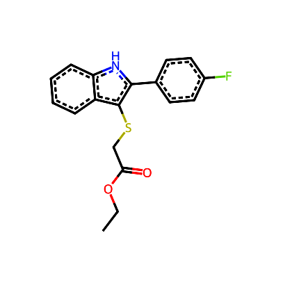 CCOC(=O)CSc1c(-c2ccc(F)cc2)[nH]c2ccccc12